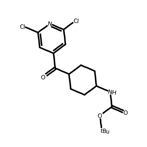 CC(C)(C)OC(=O)NC1CCC(C(=O)c2cc(Cl)nc(Cl)c2)CC1